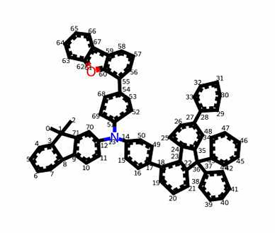 CC1(C)c2ccccc2-c2ccc(N(c3ccc(-c4cccc5c4-c4ccc(-c6ccccc6)cc4C5(c4ccccc4)c4ccccc4)cc3)c3ccc(-c4cccc5c4oc4ccccc45)cc3)cc21